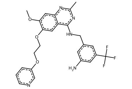 COc1cc2nc(C)nc(NCc3cc(N)cc(C(F)(F)F)c3)c2cc1OCCOc1cccnc1